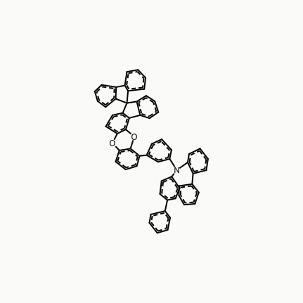 c1ccc(-c2ccc(N(c3cccc(-c4cccc5c4Oc4c(ccc6c4-c4ccccc4C64c6ccccc6-c6ccccc64)O5)c3)c3ccccc3-c3ccccc3)cc2)cc1